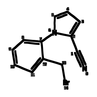 N#Cc1cccn1-c1ccccc1CBr